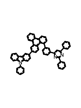 c1ccc(-c2cc(-c3cccc(-c4cccc5c6ccccc6c6cc(-c7ccc8c(c7)c7ccccc7n8-c7ccccc7)ccc6c45)c3)nc(-c3ccccc3)n2)cc1